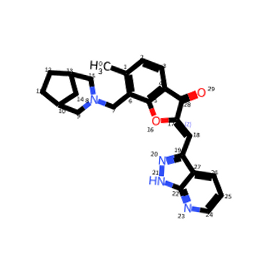 Cc1ccc2c(c1CN1CC3CCC(C3)C1)O/C(=C\c1n[nH]c3ncccc13)C2=O